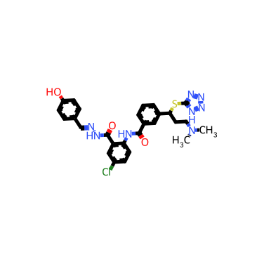 CN(C)CCC(Sc1nnn[nH]1)c1cccc(C(=O)Nc2ccc(Cl)cc2C(=O)NN=Cc2ccc(O)cc2)c1